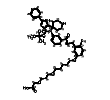 CC(C)(C)OC(=O)N(c1cccc(C(=O)NCc2cc(OCCCCCOCCCOCC(=O)O)ccc2F)c1)C1(c2nnc(-c3ccncc3)[nH]2)CCNCC1